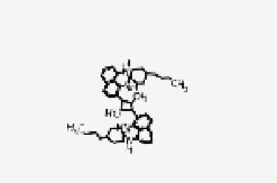 CCCCC1CCC2(CC1)Nc1cccc3ccc(C4C(O)C(c5ccc6cccc7c6c5NC5(CCC(CCCC)CC5)N7)C4O)c(c13)N2